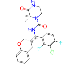 C[C@@H]1C(=O)NCCN1C(=O)N[C@@H](c1ccc(F)c(Cl)c1F)[C@H]1COc2ccccc2C1